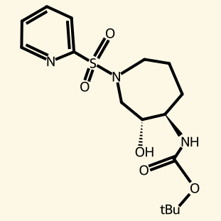 CC(C)(C)OC(=O)N[C@@H]1CCCN(S(=O)(=O)c2ccccn2)C[C@H]1O